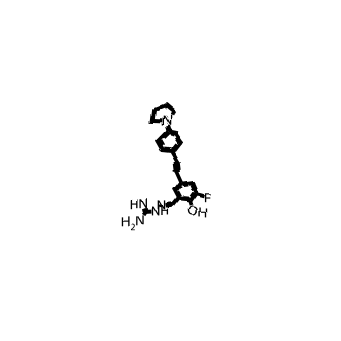 N=C(N)NN=Cc1cc(C#Cc2ccc(N3CCCC3)cc2)cc(F)c1O